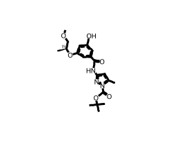 COC[C@H](C)Oc1cc(O)cc(C(=O)Nc2cc(C)n(C(=O)OC(C)(C)C)n2)c1